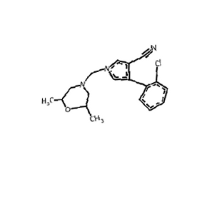 CC1CN(Cn2cc(C#N)c(-c3ccccc3Cl)c2)CC(C)O1